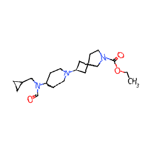 CCOC(=O)N1CCC2(CC(N3CCC(N(C=O)CC4CC4)CC3)C2)C1